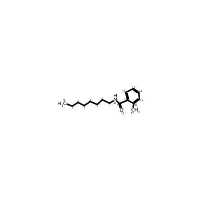 CCCCCCCCNC(=O)c1ccccc1C